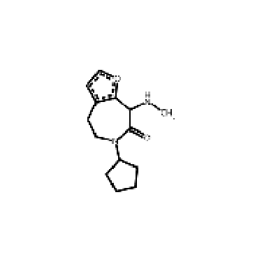 CNC1C(=O)N(C2CCCC2)CCc2ccoc21